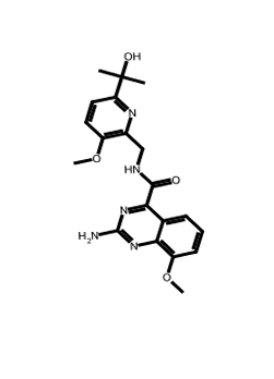 COc1ccc(C(C)(C)O)nc1CNC(=O)c1nc(N)nc2c(OC)cccc12